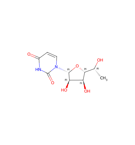 C[C@@H](O)[C@H]1O[C@@H](n2ccc(=O)[nH]c2=O)[C@H](O)[C@@H]1O